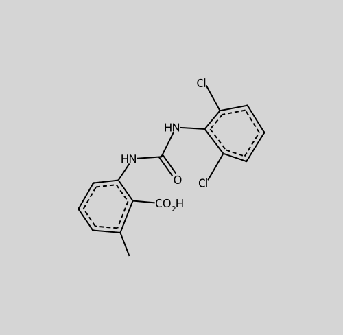 Cc1cccc(NC(=O)Nc2c(Cl)cccc2Cl)c1C(=O)O